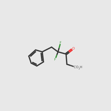 O=C(O)CC(=O)C(F)(F)Cc1ccccc1